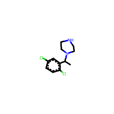 CC(c1cc(Cl)ccc1Cl)N1CCNCC1